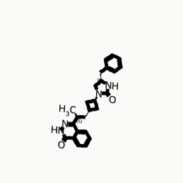 C[C@@H](C[C@H]1C[C@H](N2C[C@H](Cc3ccccc3)NC2=O)C1)c1n[nH]c(=O)c2ccccc12